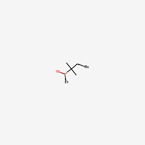 CC[S+]([O-])C(C)(C)CC(C)(C)C